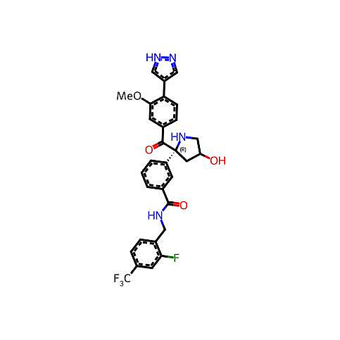 COc1cc(C(=O)[C@]2(c3cccc(C(=O)NCc4ccc(C(F)(F)F)cc4F)c3)CC(O)CN2)ccc1-c1cn[nH]c1